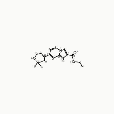 CCOC(=O)c1cn2ccc(C3CCOC(C)(C)C3)cc2n1